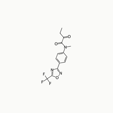 CCC(=O)C(=O)N(C)c1ccc(-c2noc(C(F)(F)F)n2)cc1